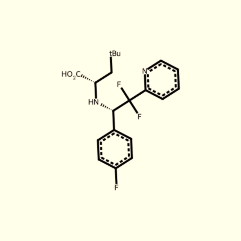 CC(C)(C)C[C@H](N[C@@H](c1ccc(F)cc1)C(F)(F)c1ccccn1)C(=O)O